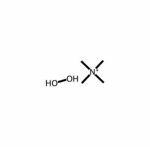 C[N+](C)(C)C.OO